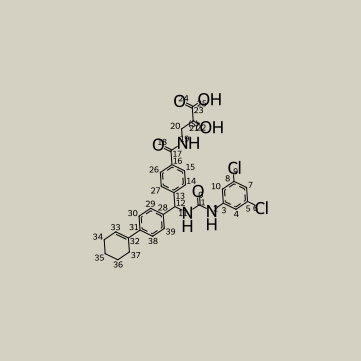 O=C(Nc1cc(Cl)cc(Cl)c1)NC(c1ccc(C(=O)NC[C@H](O)C(=O)O)cc1)c1ccc(C2=CCCCC2)cc1